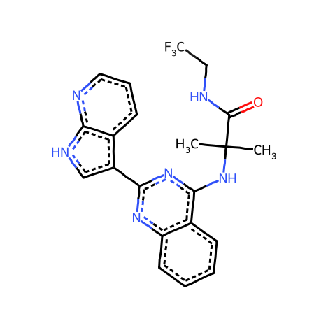 CC(C)(Nc1nc(-c2c[nH]c3ncccc23)nc2ccccc12)C(=O)NCC(F)(F)F